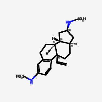 C=C[C@]12CC[C@]3(C)C[C@H](NS(=O)(=O)O)C[C@H]3[C@@H]1CCc1cc(NS(=O)(=O)O)ccc12